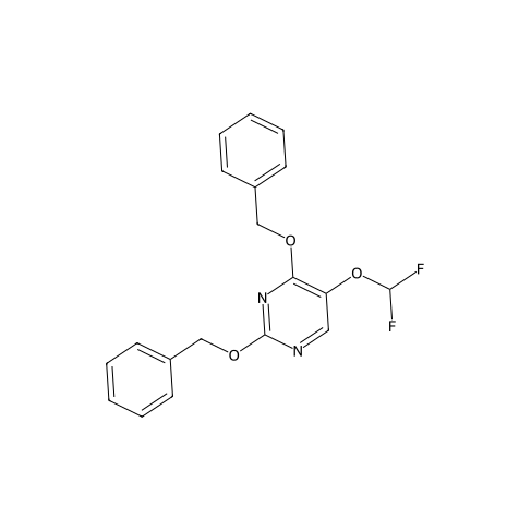 FC(F)Oc1cnc(OCc2ccccc2)nc1OCc1ccccc1